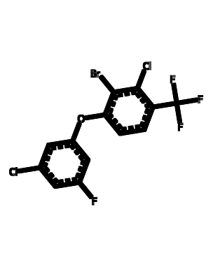 Fc1cc(Cl)cc(Oc2ccc(C(F)(F)F)c(Cl)c2Br)c1